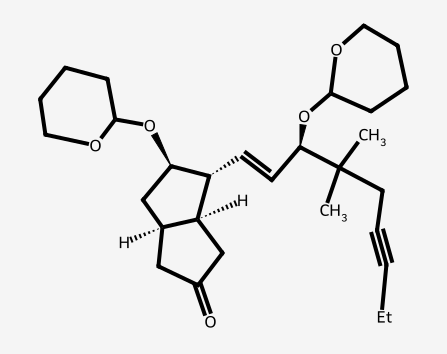 CCC#CCC(C)(C)[C@@H](C=C[C@@H]1[C@H]2CC(=O)C[C@H]2C[C@H]1OC1CCCCO1)OC1CCCCO1